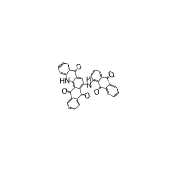 O=C1c2ccccc2C(=O)c2c(Nc3cc4c(=O)c5ccccc5[nH]c4c4c3C(=O)c3ccccc3C4=O)cccc21